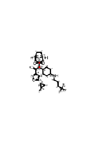 O=C(NC1C[C@H]2CC[C@@H](C1)N2S(=O)(=O)CC1CCC(NCCCC(F)(F)F)CC1)c1cc([C@@H]2C[C@H]2F)on1